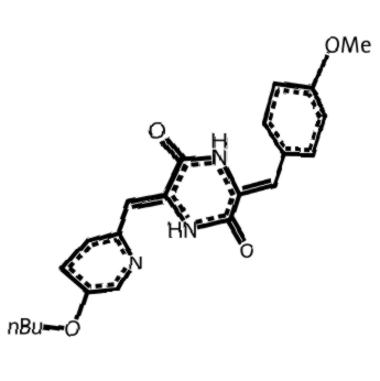 CCCCOc1ccc(C=c2[nH]c(=O)c(=Cc3ccc(OC)cc3)[nH]c2=O)nc1